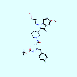 COCCCn1c(C2CCCN(C(=O)C[C@@H](Cc3ccc(Br)cc3)NC(=O)OC(C)(C)C)C2)c(C)c2cc(OC)ccc21